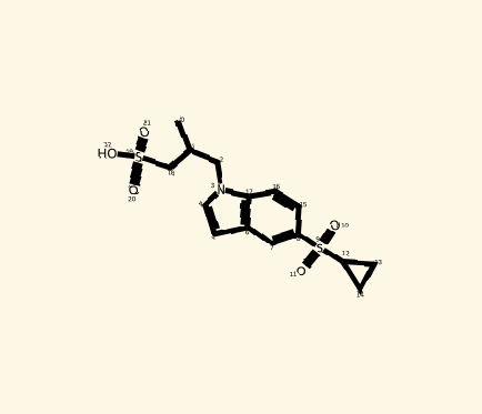 CC(Cn1ccc2cc(S(=O)(=O)C3CC3)ccc21)CS(=O)(=O)O